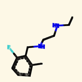 CCNCCNCc1c(C)cccc1F